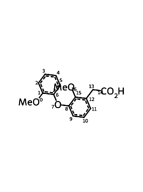 COc1ccccc1Oc1cccc(CC(=O)O)c1OC